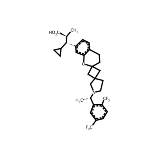 C[C@H](C(=O)O)[C@H](c1ccc2c(c1)OC1(CC2)CC2(CCN([C@@H](C)c3cc(C(F)(F)F)ccc3C(F)(F)F)C2)C1)C1CC1